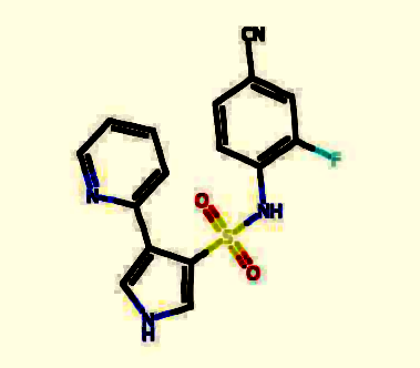 N#Cc1ccc(NS(=O)(=O)c2c[nH]cc2-c2ccccn2)c(F)c1